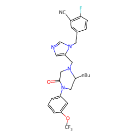 CCCCC1CN(c2cccc(OC(F)(F)F)c2)C(=O)CN1Cc1cncn1Cc1ccc(F)c(C#N)c1